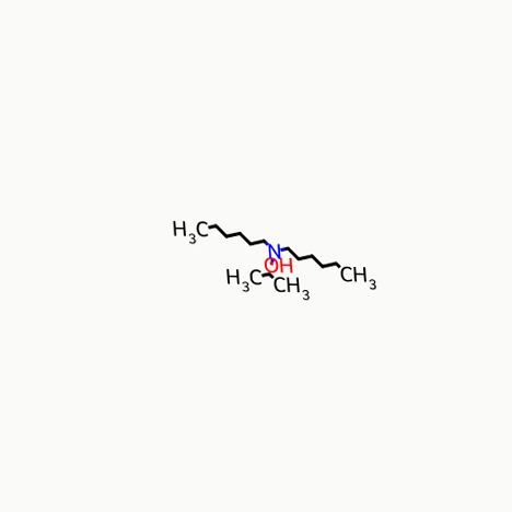 CCC.CCCCCCN(O)CCCCCC